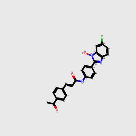 CC(=O)c1ccc(/C=C/C(=O)Nc2ccc(-c3nc4ccc(Cl)cc4n3O)cc2)cc1